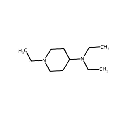 C[CH]N1CCC(N(CC)CC)CC1